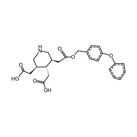 O=C(O)C[C@H]1CNC[C@@H](CC(=O)OCc2ccc(Oc3ccccc3)cc2)[C@@H]1CC(=O)O